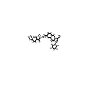 CC(C)Cc1ccc(C(C)C(=O)NCc2ccc(Cn3c(=O)sn(-c4ccccc4)c3=O)cc2)cc1